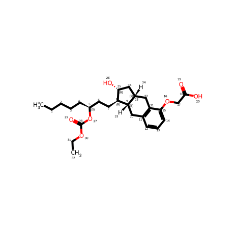 CCCCC[C@@H](CC[C@@H]1[C@H]2Cc3cccc(OCC(=O)O)c3C[C@H]2C[C@H]1O)OC(=O)OCC